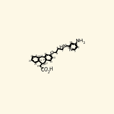 Nc1ccnc(NCCCOc2ccc3c(c2)Cc2ccccc2C(CC(=O)O)C3)c1